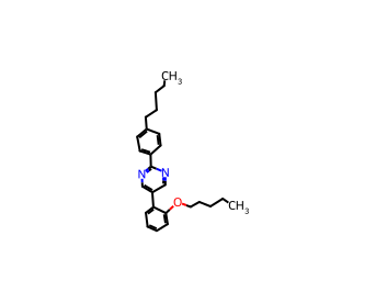 CCCCCOc1ccccc1-c1cnc(-c2ccc(CCCCC)cc2)nc1